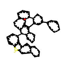 c1ccc(-c2ccc(-c3ccccc3)c(-c3c4ccccc4c(-c4cccc5sc6cc7ccccc7cc6c45)c4ccccc34)c2)cc1